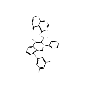 C[C@H](Nc1ncnc2[nH]ccc(=O)c12)c1c(Cl)c2cccc(-c3cc(F)cc(F)c3)c2c(=O)n1-c1ccccc1